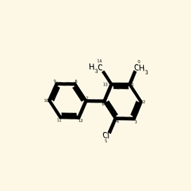 Cc1ccc(Cl)c(-c2ccccc2)c1C